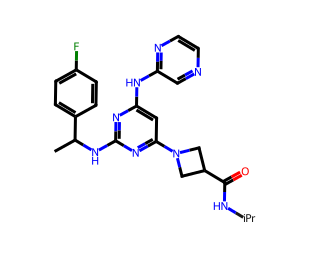 CC(C)NC(=O)C1CN(c2cc(Nc3cnccn3)nc(NC(C)c3ccc(F)cc3)n2)C1